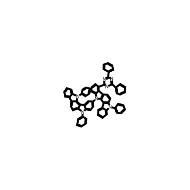 c1ccc(-c2nc(-c3ccccc3)nc(-c3cccc4c3c3ccc5c(c6ccccc6n5-c5ccccc5)c3n4-c3ccc4c(c3)c3c(ccc5c6ccccc6n(-c6ccccc6)c53)n4-c3ccccc3)n2)cc1